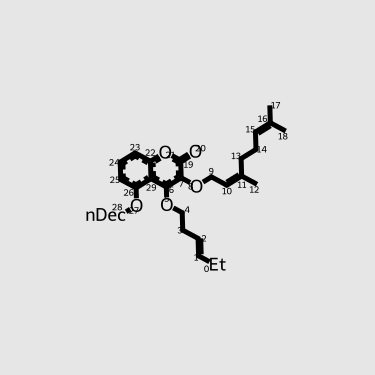 CCC=CCCOc1c(OCC=C(C)CCC=C(C)C)c(=O)oc2cccc(OCCCCCCCCCC)c12